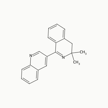 CC1(C)Cc2ccccc2C(c2cnc3ccccc3c2)=N1